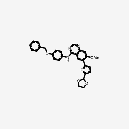 COc1cc2ncnc(Nc3ccc(OCc4ccccc4)cc3)c2cc1-c1ccc(C2OCCO2)o1